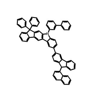 c1ccc(-c2cccc(-n3c4ccc(-c5ccc6c(c5)-c5ccccc5C6c5cccc6ccccc56)cc4c4cc5c(cc43)C(c3ccccc3)(c3ccccc3)c3ccccc3-5)c2)cc1